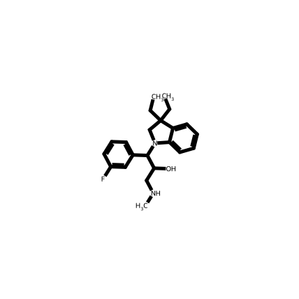 CCC1(CC)CN(C(c2cccc(F)c2)C(O)CNC)c2ccccc21